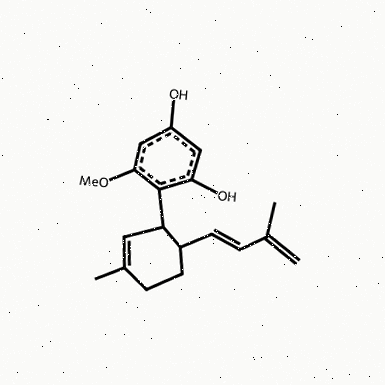 C=C(C)C=CC1CCC(C)=CC1c1c(O)cc(O)cc1OC